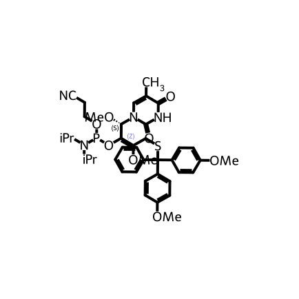 CO/C(CSC(c1ccccc1)(c1ccc(OC)cc1)c1ccc(OC)cc1)=C(\OP(OCCC#N)N(C(C)C)C(C)C)[C@H](OC)n1cc(C)c(=O)[nH]c1=O